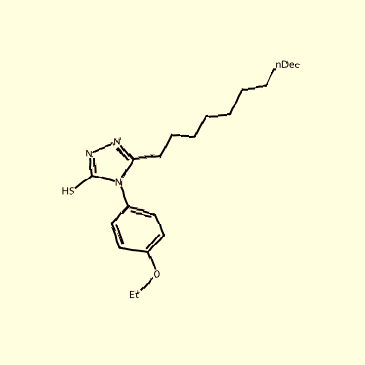 CCCCCCCCCCCCCCCCCc1nnc(S)n1-c1ccc(OCC)cc1